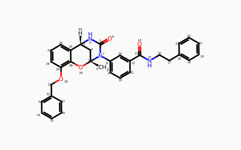 C[C@@]12C[C@@H](NC(=O)N1c1cccc(C(=O)NCCc3ccccc3)c1)c1cccc(OCc3ccccc3)c1O2